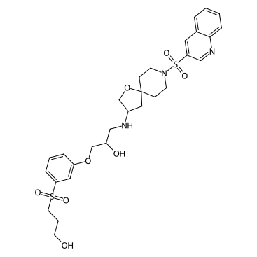 O=S(=O)(CCCO)c1cccc(OCC(O)CNC2COC3(CCN(S(=O)(=O)c4cnc5ccccc5c4)CC3)C2)c1